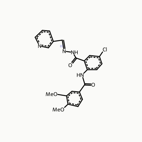 COc1ccc(C(=O)Nc2ccc(Cl)cc2C(=O)N/N=C/c2cccnc2)cc1OC